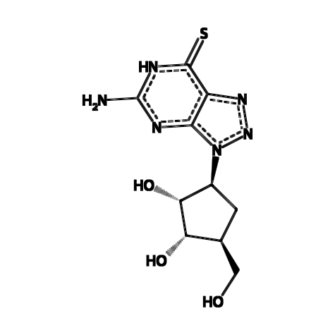 Nc1nc2c(nnn2[C@H]2C[C@@H](CO)[C@H](O)[C@@H]2O)c(=S)[nH]1